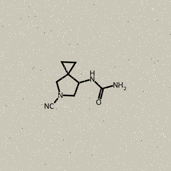 N#CN1CC(NC(N)=O)C2(CC2)C1